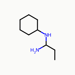 CCC(N)NC1CCCCC1